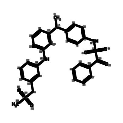 CN(c1ccc(NS(=O)(=O)C(=O)c2ccccc2)cc1)c1ccnc(Nc2cccc(CS(C)(=O)=O)c2)n1